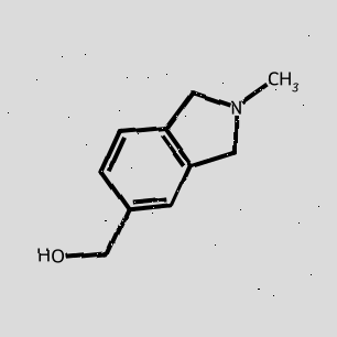 CN1Cc2ccc(CO)cc2C1